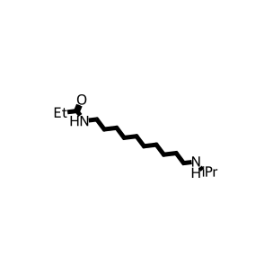 CCC(=O)NCCCCCCCCCCNC(C)C